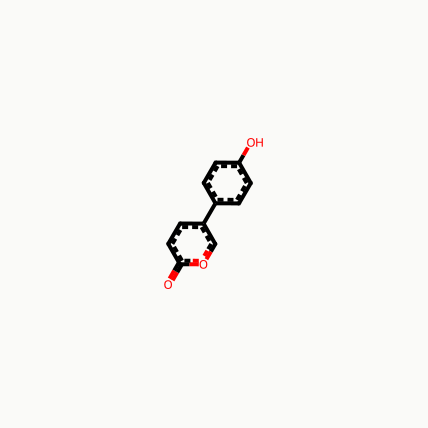 O=c1ccc(-c2ccc(O)cc2)co1